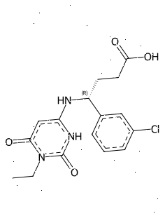 CCn1c(=O)cc(N[C@H](CCC(=O)O)c2cccc(Cl)c2)[nH]c1=O